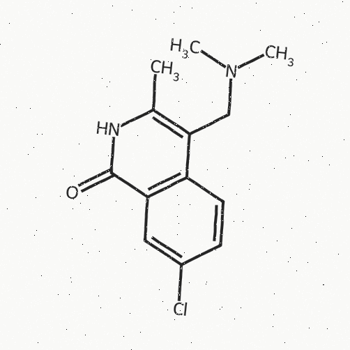 Cc1[nH]c(=O)c2cc(Cl)ccc2c1CN(C)C